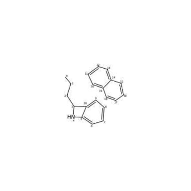 CCCC1Nc2ccccc21.c1ccc2ccccc2c1